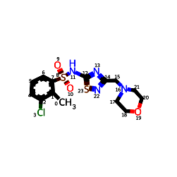 Cc1c(Cl)cccc1S(=O)(=O)Nc1nc(CN2CCOCC2)ns1